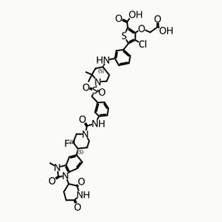 Cn1c(=O)n(C2CCC(=O)NC2=O)c2ccc([C@@H]3CCN(C(=O)Nc4cccc(CS(=O)(=O)N5CC[C@H](Nc6cccc(-c7sc(C(=O)O)c(OCC(=O)O)c7Cl)c6)CC5(C)C)c4)C[C@H]3F)cc21